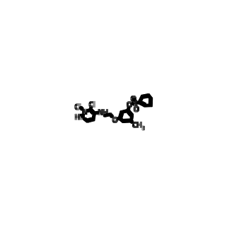 Cc1cc(OCCNC2=C(Cl)N(Cl)NC=C2)cc(OS(=O)(=O)c2ccccc2)c1